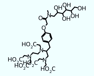 CN(CC(O)C(O)C(O)C(O)CO)C(=O)COc1ccc(CC(CN(CC(=O)O)CC(=O)O)N(CCN(CC(=O)O)CC(=O)O)CC(=O)O)cc1